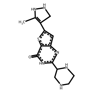 CC1=C(c2cc3nc(C4CNCCN4)[nH]c(=O)c3s2)CNN1